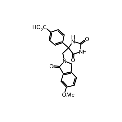 COc1ccc2c(c1)C(=O)N(CC1(c3ccc(C(=O)O)cc3)NC(=O)NC1=O)C2